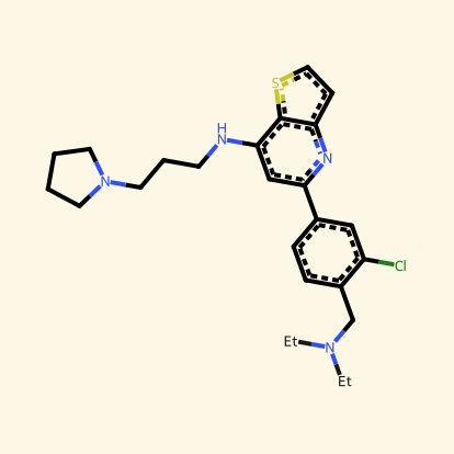 CCN(CC)Cc1ccc(-c2cc(NCCCN3CCCC3)c3sccc3n2)cc1Cl